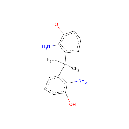 Nc1c(O)cccc1C(c1cccc(O)c1N)(C(F)(F)F)C(F)(F)F